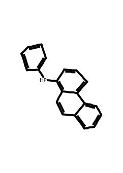 c1ccc(Pc2cccc3c2ccc2ccccc23)cc1